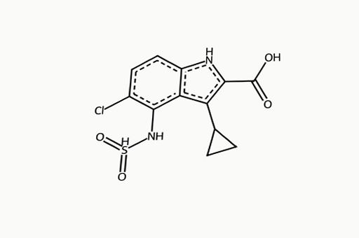 O=C(O)c1[nH]c2ccc(Cl)c(N[SH](=O)=O)c2c1C1CC1